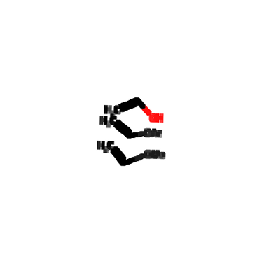 C=CO.C=COC.C=COC(C)=O